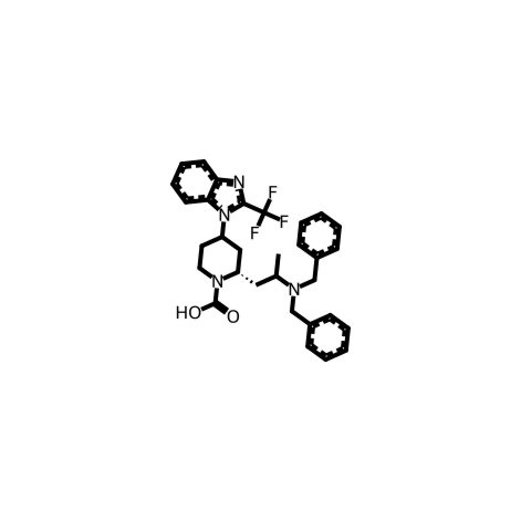 CC(C[C@H]1CC(n2c(C(F)(F)F)nc3ccccc32)CCN1C(=O)O)N(Cc1ccccc1)Cc1ccccc1